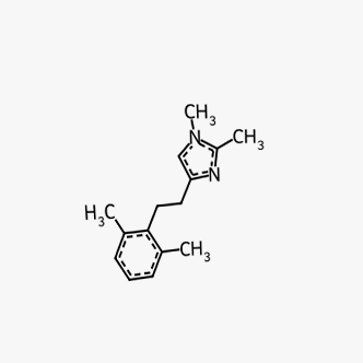 Cc1cccc(C)c1CCc1cn(C)c(C)n1